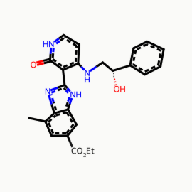 CCOC(=O)c1cc(C)c2nc(-c3c(NC[C@@H](O)c4ccccc4)cc[nH]c3=O)[nH]c2c1